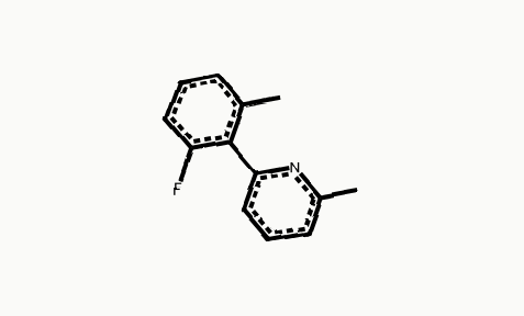 Cc1cccc(-c2c(C)cccc2F)n1